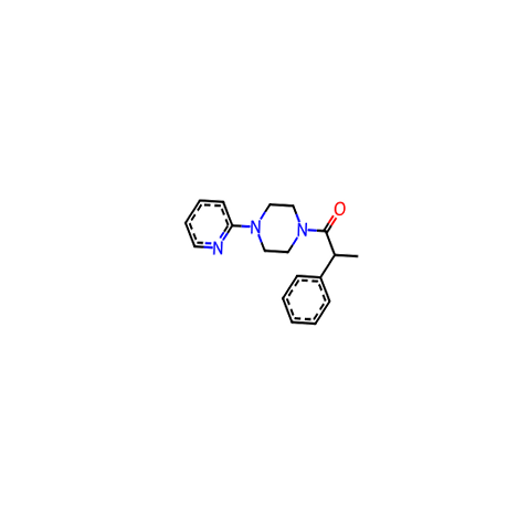 CC(C(=O)N1CCN(c2ccccn2)CC1)c1ccccc1